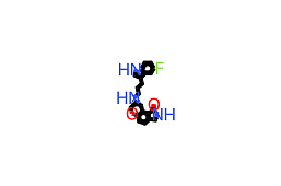 O=C1NCc2ccc3c(c21)C[C@H](NCCCc1c[nH]c2ccc(F)cc12)CO3